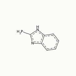 Pc1nc2ccccc2[nH]1